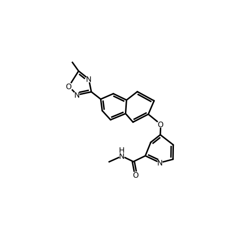 CNC(=O)c1cc(Oc2ccc3cc(-c4noc(C)n4)ccc3c2)ccn1